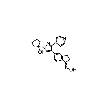 ON=C1CCc2cc(-c3cn(C4(O)CCCC4)nc3-c3ccncc3)ccc21